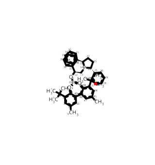 Cc1cc(C(C)(C)C)c2op(O[C@H](CP3[C@@H](c4ccccc4)CC[C@@H]3c3ccccc3)c3ccccc3)oc3c(C(C)(C)C)cc(C)cc3c2c1